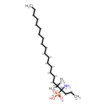 CCCCCCCCCCCCCCCCCC(C)(C)C(N)(CCC)S(=O)(=O)O